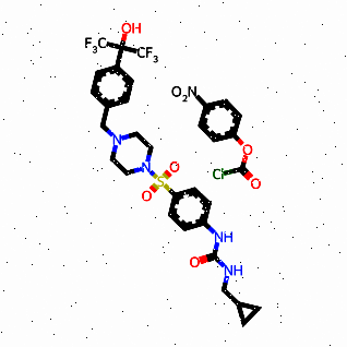 O=C(Cl)Oc1ccc([N+](=O)[O-])cc1.O=C(NCC1CC1)Nc1ccc(S(=O)(=O)N2CCN(Cc3ccc(C(O)(C(F)(F)F)C(F)(F)F)cc3)CC2)cc1